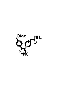 COCc1ccc(-c2ncccc2N2CCN(CC(N)=O)CC2)cc1.Cl